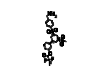 CS(=O)(=O)N1C[C@@H](c2cccc(OC(=O)C(F)(F)F)c2)C[C@@H](S(=O)(=O)c2ccc(CN)cc2)C1